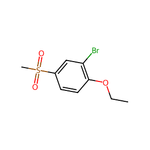 CCOc1ccc(S(C)(=O)=O)cc1Br